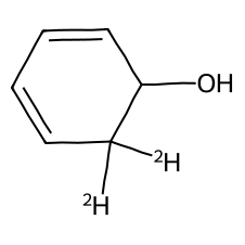 [2H]C1([2H])C=CC=CC1O